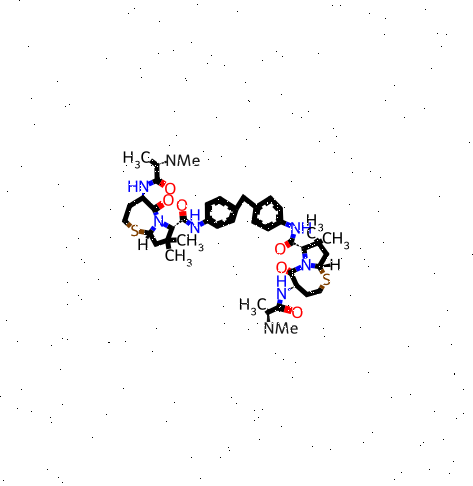 CN[C@@H](C)C(=O)N[C@H]1CCS[C@H]2CC(C)(C)[C@@H](C(=O)Nc3ccc(Cc4ccc(NC(=O)[C@H]5N6C(=O)[C@@H](NC(=O)[C@H](C)NC)CCS[C@H]6CC5(C)C)cc4)cc3)N2C1=O